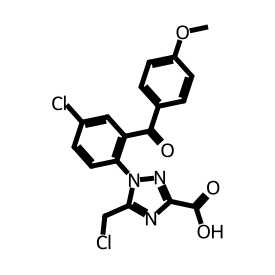 COc1ccc(C(=O)c2cc(Cl)ccc2-n2nc(C(=O)O)nc2CCl)cc1